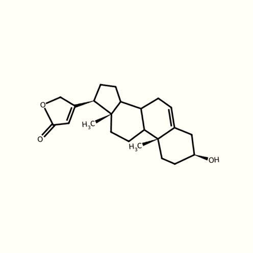 C[C@]12CC[C@H](O)CC1=CCC1C2CC[C@@]2(C)C1CC[C@@H]2C1=CC(=O)OC1